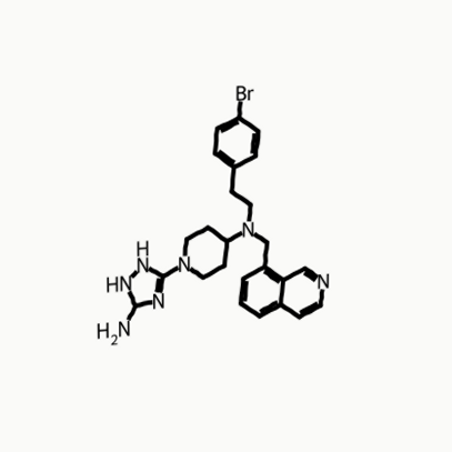 NC1N=C(N2CCC(N(CCc3ccc(Br)cc3)Cc3cccc4ccncc34)CC2)NN1